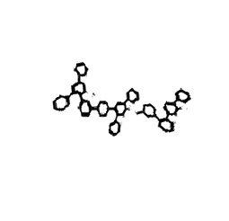 Cn1c2ccccc2c2ccc3c(oc4cccc(C5CCCC(Cn6c7ccccc7c7cc(C8CCC(c9cccc%10c%11c(C%12CCCCC%12)cc%12c%13ccccc%13oc%12c%11n(C)c9%10)CC8)c8c9ccccc9oc8c76)C5)c43)c21